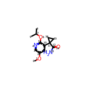 COc1cnc(OC(C)C)c(C2(C(N)=O)CC2)c1